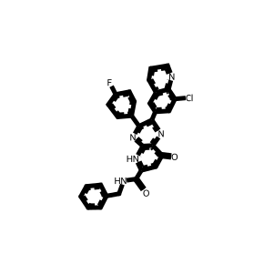 O=C(NCc1ccccc1)c1cc(=O)c2nc(-c3cc(Cl)c4ncccc4c3)c(-c3ccc(F)cc3)nc2[nH]1